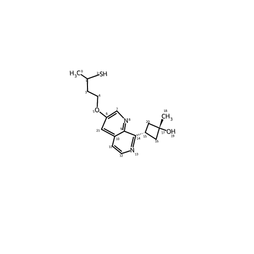 CC(S)CCOc1cnc2c(ccnc2[C@H]2C[C@@](C)(O)C2)c1